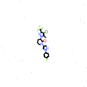 Cc1c(Cl)c(C(F)(F)F)nn1C1CCCN(c2cnn(-c3ccc(F)cc3)c2)C1=O